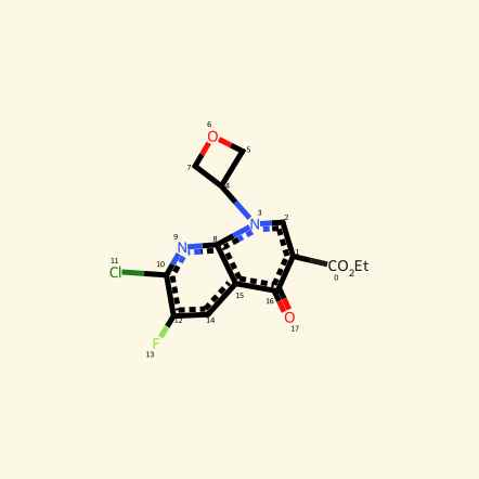 CCOC(=O)c1cn(C2COC2)c2nc(Cl)c(F)cc2c1=O